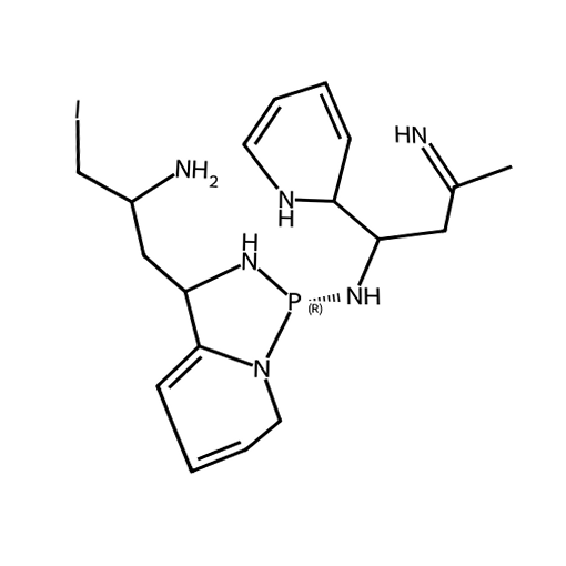 CC(=N)CC(N[P@@]1NC(CC(N)CI)C2=CC=CCN21)C1C=CC=CN1